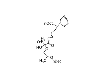 CCCCCCCCCCOC(C)COC(O)([PH2]=O)C(=O)OSCCC(CCCCCCCC)c1ccccc1